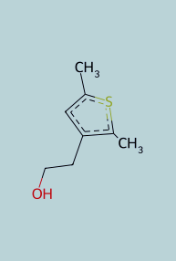 Cc1cc(CCO)c(C)s1